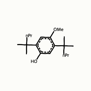 CCCC(C)(C)c1cc(OC)c(C(C)(C)CCC)cc1O